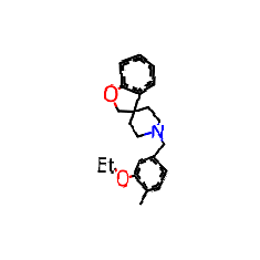 CCOc1cc(CN2CCC3(CC2)COc2ccccc23)ccc1C